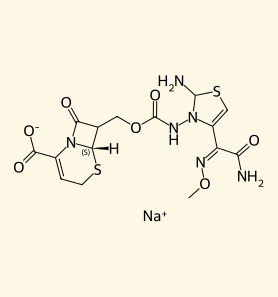 CON=C(C(N)=O)C1=CSC(N)N1NC(=O)OCC1C(=O)N2C(C(=O)[O-])=CCS[C@@H]12.[Na+]